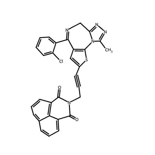 Cc1nnc2n1-c1sc(C#CCN3C(=O)c4cccc5cccc(c45)C3=O)cc1C(c1ccccc1Cl)=NC2